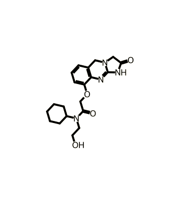 O=C1CN2Cc3cccc(OCC(=O)N(CCO)C4CCCCC4)c3N=C2N1